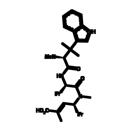 CN[C@@H](C(=O)N[C@@H](C(=O)N(C)[C@H](/C=C(\C)C(=O)O)C(C)C)C(C)C)C(C)(C)c1c[nH]c2ccccc12